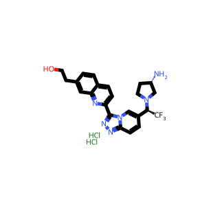 Cl.Cl.N[C@H]1CCN([C@H](c2ccc3nnc(-c4ccc5ccc(CCO)cc5n4)n3c2)C(F)(F)F)C1